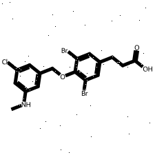 CNc1cc(Cl)cc(COc2c(Br)cc(CCC(=O)O)cc2Br)c1